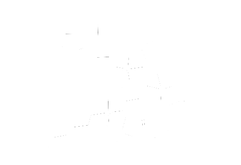 CCCCCC[Si](C)(O[Si](C)(C)C[Si](=O)CC)O[Si](C)(CCC[Si](C)(C)O[Si](C)(C)C)O[Si](C)(CCC[Si](OCC)(OCC)OCC)O[Si](C)(C)C